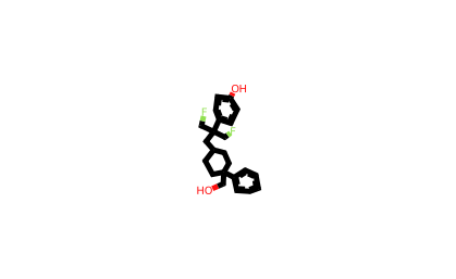 OCC1(c2ccccc2)CCC(CC(CF)(CF)c2ccc(O)cc2)CC1